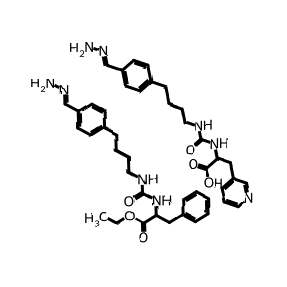 CCOC(=O)C(Cc1ccccc1)NC(=O)NCCCCc1ccc(C=NN)cc1.NN=Cc1ccc(CCCCNC(=O)NC(Cc2cccnc2)C(=O)O)cc1